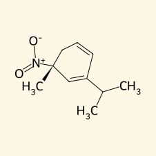 CC(C)C1=C[C@](C)([N+](=O)[O-])CC=C1